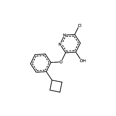 Oc1cc(Cl)nnc1Oc1ccccc1C1CCC1